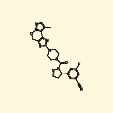 Cc1cnn2c1-c1nc(N3CCN(C(=O)N4N=CC[C@H]4c4cc(F)cc(C#N)c4)CC3)sc1CO2